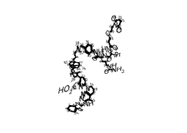 Cc1c(Nc2nc3ccccc3s2)nnc2c1CCCN2c1ccc(-c2cnn(CC34CC5(CCC[N+](C)(C)Cc6ccc(NC(=O)[C@H](CCCNC(N)=O)NC(=O)[C@@H](NC(=O)CCOCCN7C(=O)C=CC7=O)C(C)C)cc6)C[C@@](C)(C3)C[C@](C)(C5)C4)c2C)c(C(=O)O)n1